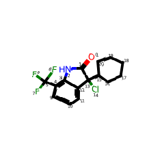 O=C1Nc2c(C(F)(F)F)cccc2C1(Cl)C1CCCCC1